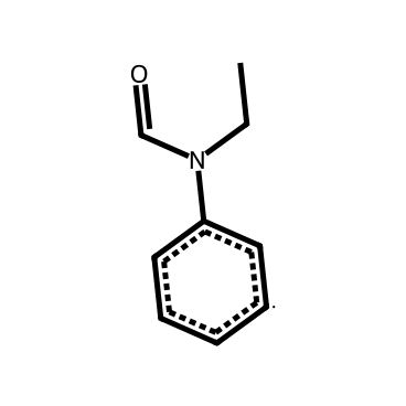 CCN(C=O)c1c[c]ccc1